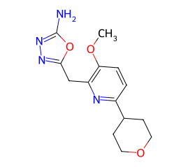 COc1ccc(C2CCOCC2)nc1Cc1nnc(N)o1